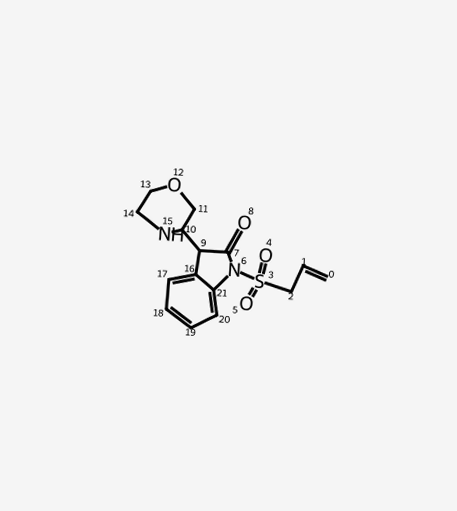 C=CCS(=O)(=O)N1C(=O)C(C2COCCN2)c2ccccc21